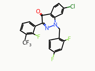 O=c1c(-c2cccc(C(F)(F)F)c2F)nn(Cc2ccc(F)cc2F)c2cc(Cl)ccc12